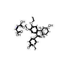 CCOc1cc2c(cc1OC)C(c1ccc(=O)n(C)c1)=N[C@@H]1CC[C@@H](O)C[C@H]21.O=C(O)/C=C\C(=O)O